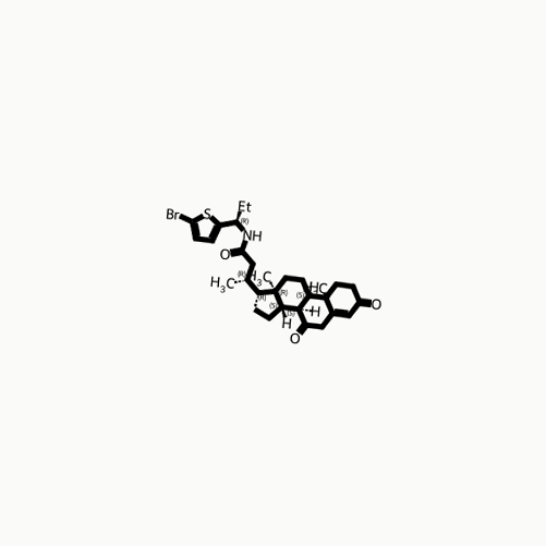 CC[C@@H](NC(=O)C[C@@H](C)[C@H]1CC[C@H]2[C@@H]3C(=O)CC4=CC(=O)CC[C@]4(C)[C@H]3CC[C@]12C)c1ccc(Br)s1